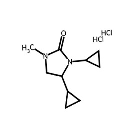 CN1CC(C2CC2)N(C2CC2)C1=O.Cl.Cl